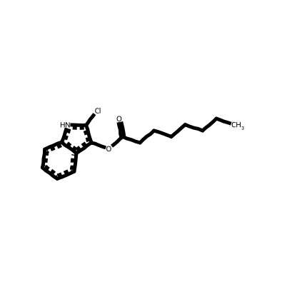 CCCCCCCC(=O)Oc1c(Cl)[nH]c2ccccc12